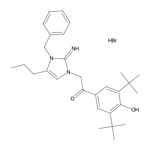 Br.CCCc1cn(CC(=O)c2cc(C(C)(C)C)c(O)c(C(C)(C)C)c2)c(=N)n1Cc1ccccc1